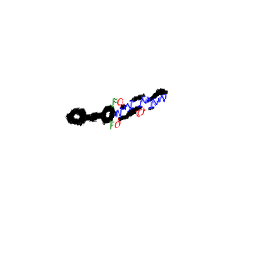 Cn1nccc1N1CCN2C(=O)N(c3c(F)cc(C#Cc4ccccc4)cc3F)C(=O)CC2(C)C1=O